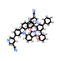 N#Cc1cncc(-c2ccc3c4ccc(-c5cncc(C#N)c5)cc4n(-c4cccc5c4C(=O)N(c4c(-c6ccccc6)cc(-c6ccccc6)cc4-c4ccccc4)C5=O)c3c2)c1